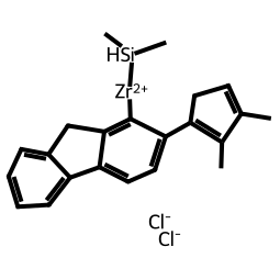 CC1=CCC(c2ccc3c([c]2[Zr+2][SiH](C)C)Cc2ccccc2-3)=C1C.[Cl-].[Cl-]